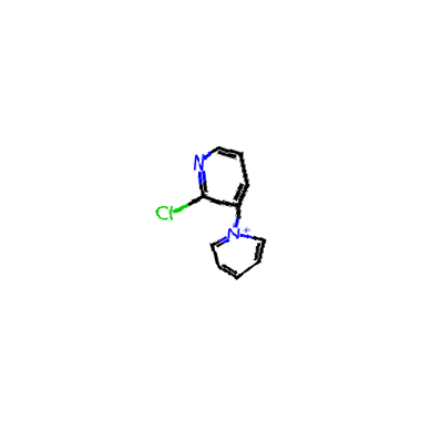 Clc1ncccc1-[n+]1ccccc1